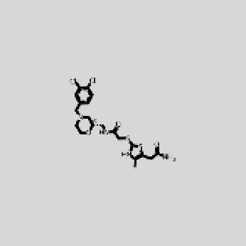 CC1=C(CC(N)=O)SC(SCC(=O)NC[C@H]2CN(Cc3ccc(Cl)c(Cl)c3)CCO2)N1